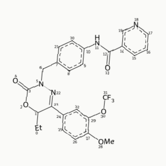 CCC1OC(=O)N(Cc2ccc(NC(=O)c3cccnc3)cc2)N=C1c1ccc(OC)c(OC(F)(F)F)c1